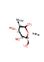 CC(=O)N[C@H]1C(O)O[C@H](CO)[C@H](O)[C@@H]1O.[Na].[Na]